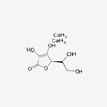 O=C1O[C@H](C(O)CO)C(O)=C1O.[CaH2].[CaH2]